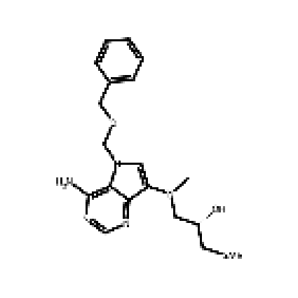 CSC[C@@H](O)CN(C)c1cn(COCc2ccccc2)c2c(N)ncnc12